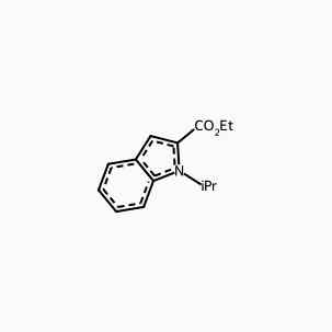 CCOC(=O)c1cc2ccccc2n1C(C)C